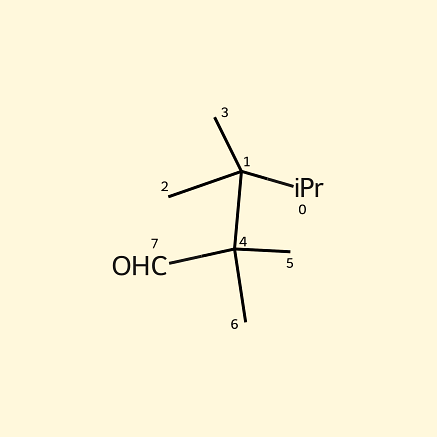 CC(C)C(C)(C)C(C)(C)C=O